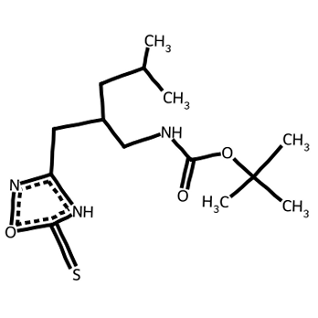 CC(C)CC(CNC(=O)OC(C)(C)C)Cc1noc(=S)[nH]1